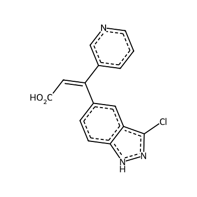 O=C(O)/C=C(/c1cccnc1)c1ccc2[nH]nc(Cl)c2c1